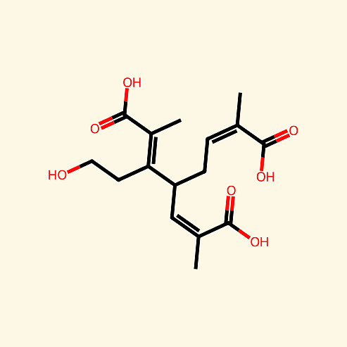 CC(=CCC(C=C(C)C(=O)O)C(CCO)=C(C)C(=O)O)C(=O)O